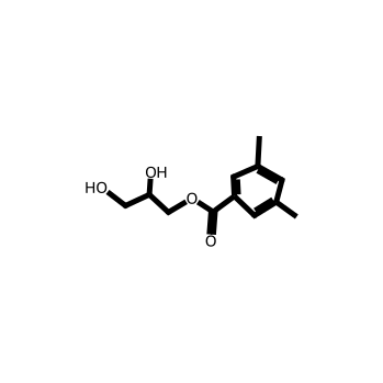 Cc1cc(C)cc(C(=O)OCC(O)CO)c1